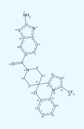 Nc1nc2ccc(C(=O)N3CCC4(CC3)Oc3ccccc3-n3c(C(F)(F)F)ccc34)cc2s1